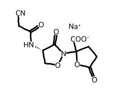 N#CCC(=O)N[C@H]1CON(C2(C(=O)[O-])CCC(=O)O2)C1=O.[Na+]